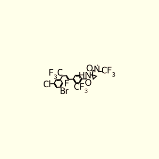 CN(CC(F)(F)F)C(=O)C1(NC(=O)c2ccc(/C(F)=C/C(c3cc(Cl)cc(Br)c3)C(F)(F)F)cc2C(F)(F)F)CC1